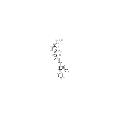 C/C(=N\OCc1ccc(C2CCCCC2)c(C(F)(F)F)c1)C1=CC2=C(CN(CCC(=O)O)CC2)[C@H](C)C1